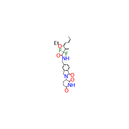 C=C(/C(=C\C=C/C)OCC)C(F)(F)C(=O)NCc1ccc2c(c1)CN(C1CCC(=O)NC1=O)C2=O